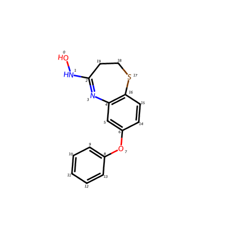 ONC1=Nc2cc(Oc3ccccc3)ccc2SCC1